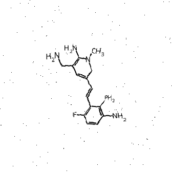 CN1CC(C=Cc2c(F)ccc(N)c2P)=CC(CN)=C1N